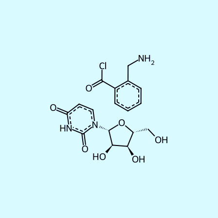 NCc1ccccc1C(=O)Cl.O=c1ccn([C@@H]2O[C@H](CO)[C@@H](O)[C@H]2O)c(=O)[nH]1